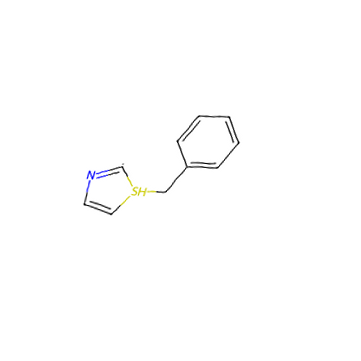 [C]1=NC=C[SH]1Cc1ccccc1